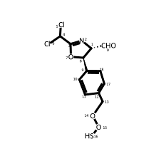 O=C[C@H]1N=C(C(Cl)Cl)O[C@@H]1c1ccc(COOS)cc1